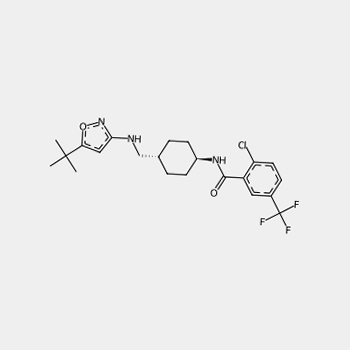 CC(C)(C)c1cc(NC[C@H]2CC[C@H](NC(=O)c3cc(C(F)(F)F)ccc3Cl)CC2)no1